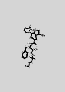 CCc1c[nH]c2c(N3CCCS3(=O)=O)cc(C(=O)N[C@@H](Cc3ccccc3)[C@H](O)CNC(C)(C)CCCC(C)C)cc12